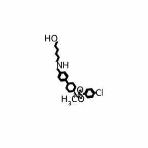 CN(C1CCC(c2ccc(CNCCCCCCO)cc2)CC1)S(=O)(=O)c1ccc(Cl)cc1